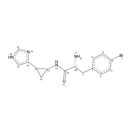 N[C@H](Cc1ccc(Br)cc1)C(=O)NC1CC1c1c[nH]cn1